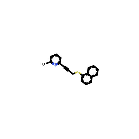 Cc1cccc(C#CCSc2cccc3ccccc23)n1